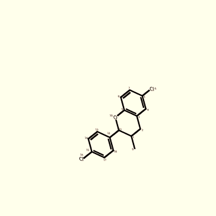 CC1Cc2cc(Cl)ccc2OC1c1ccc(Cl)cc1